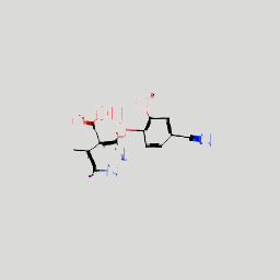 COc1cc(C#N)ccc1Oc1nnc(I)c(C)c1C(=O)O